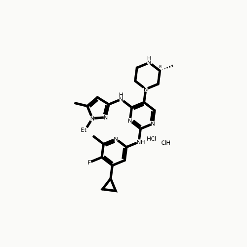 CCn1nc(Nc2nc(Nc3cc(C4CC4)c(F)c(C)n3)ncc2N2CCN[C@H](C)C2)cc1C.Cl.Cl